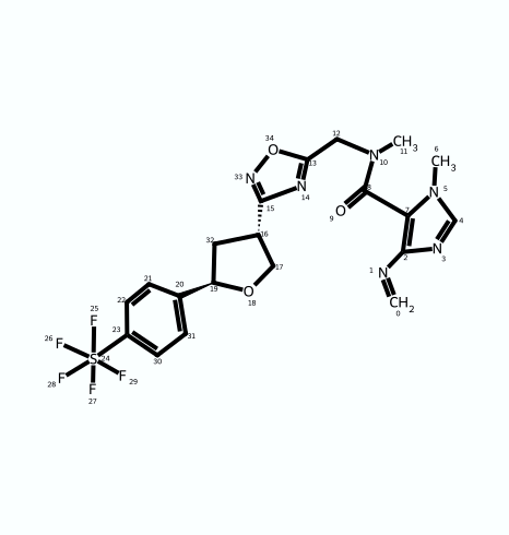 C=Nc1ncn(C)c1C(=O)N(C)Cc1nc([C@@H]2CO[C@@H](c3ccc(S(F)(F)(F)(F)F)cc3)C2)no1